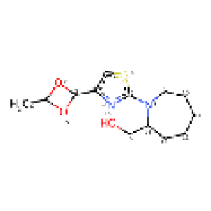 CC1OC(c2csc(N3CCCCCC3CO)n2)O1